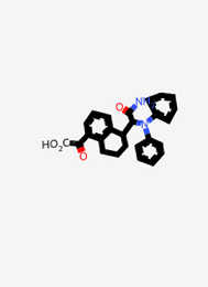 NC(=O)C(C1CCCc2c(C(=O)C(=O)O)cccc21)N(c1ccccc1)c1ccccc1